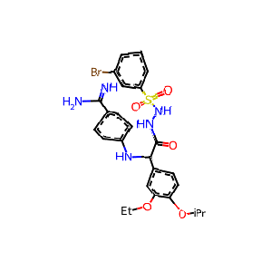 CCOc1cc(C(Nc2ccc(C(=N)N)cc2)C(=O)NNS(=O)(=O)c2cccc(Br)c2)ccc1OC(C)C